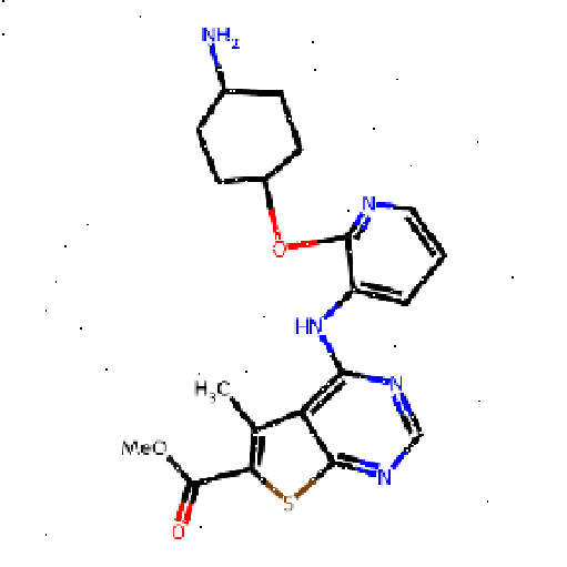 COC(=O)c1sc2ncnc(Nc3cccnc3OC3CCC(N)CC3)c2c1C